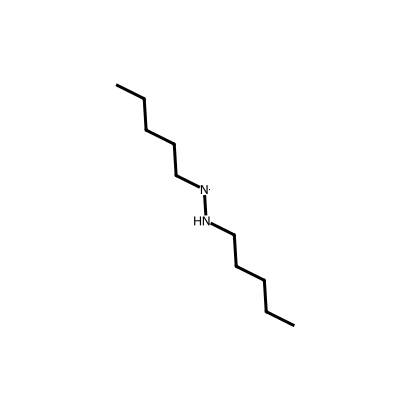 CCCCC[N]NCCCCC